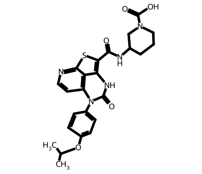 CC(C)Oc1ccc(N2C(=O)Nc3c(C(=O)NC4CCCN(C(=O)O)C4)sc4nccc2c34)cc1